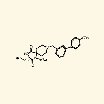 CCCCN1C(=O)[C@H](CC(C)C)NC(=O)C12CCN(Cc1cccc(-c3ccc(O)cc3)c1)CC2